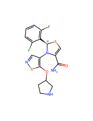 NC(=O)C1=CS[C@H](c2c(F)cccc2F)N1c1cnsc1OC1CCNC1